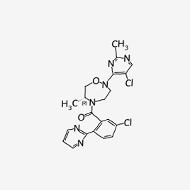 Cc1ncc(Cl)c(N2CCN(C(=O)c3cc(Cl)ccc3-c3ncccn3)[C@H](C)CO2)n1